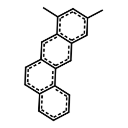 Cc1cc(C)c2cc3ccc4ccccc4c3cc2c1